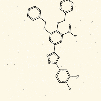 O=[N+]([O-])c1cc(-c2nc(-c3cc[n+]([O-])c(Cl)c3)no2)cc(OCc2ccccc2)c1OCc1ccccc1